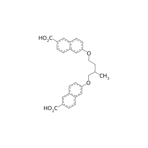 CC(CCOc1ccc2cc(C(=O)O)ccc2c1)COc1ccc2cc(C(=O)O)ccc2c1